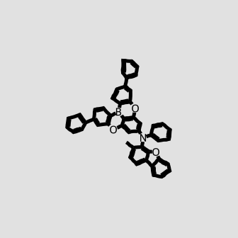 Cc1ccc2c(oc3ccccc32)c1N(c1ccccc1)c1cc2c3c(c1)Oc1cc(-c4ccccc4)ccc1B3c1ccc(-c3ccccc3)cc1O2